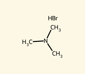 Br.CN(C)C